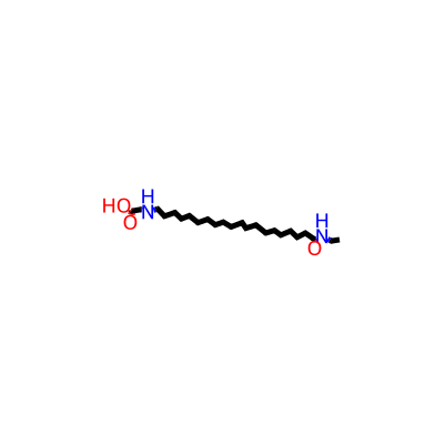 CCNC(=O)CCCCCCCCCCCCCCCCCCCNCC(=O)O